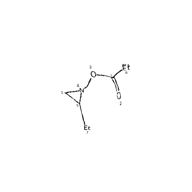 CCC(=O)ON1CC1CC